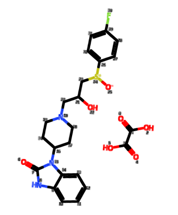 O=C(O)C(=O)O.O=c1[nH]c2ccccc2n1C1CCN(CC(O)C[S+]([O-])c2ccc(F)cc2)CC1